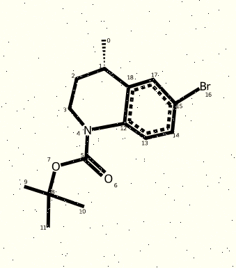 C[C@H]1CCN(C(=O)OC(C)(C)C)c2ccc(Br)cc21